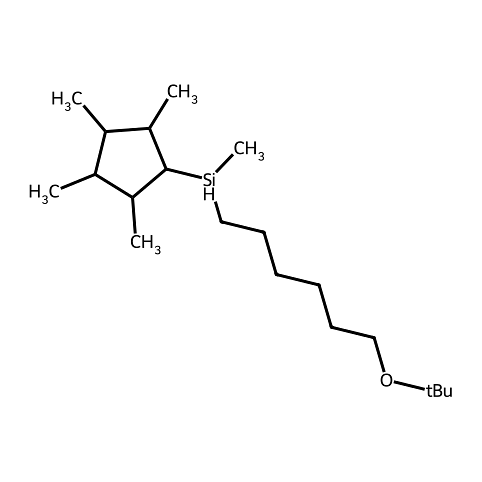 CC1C(C)C(C)C([SiH](C)CCCCCCOC(C)(C)C)C1C